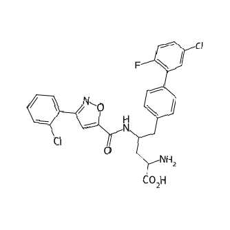 NC(CC(Cc1ccc(-c2cc(Cl)ccc2F)cc1)NC(=O)c1cc(-c2ccccc2Cl)no1)C(=O)O